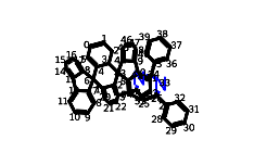 C1=CCC2C(=C1)C1(c3ccccc3-c3ccccc31)c1cccc(C3CC(c4ccccc4)=NC(c4ccccc4)=N3)c1C21c2ccccc2-c2ccccc21